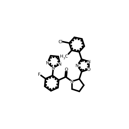 Cc1c(Cl)cccc1-c1noc(C2CCCN2C(=O)c2cccc(F)c2-n2nccn2)n1